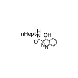 CCCCCCCNC(=O)c1nnc2ccccc2c1O